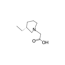 CC[C@@H]1CCCN(CC(=O)O)C1